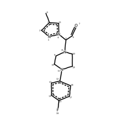 Cc1cnn(C(C=O)N2CCN(c3ccc(F)cc3)CC2)c1